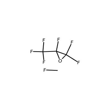 CF.FC(F)(F)C1(F)OC1(F)F